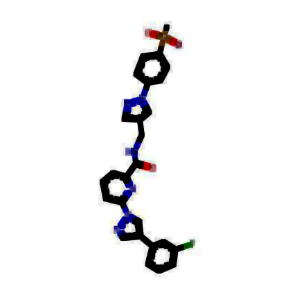 CS(=O)(=O)c1ccc(-n2cc(CNC(=O)c3cccc(-n4cc(-c5cccc(F)c5)cn4)n3)cn2)cc1